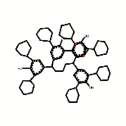 Oc1c(C2CCCCC2)cc(C(CCCC(c2cc(C3CCCCC3)c(O)c(C3CCCCC3)c2)c2cc(C3CCCCC3)c(O)c(C3CCCCC3)c2)c2cc(C3CCCCC3)c(O)c(C3CCCCC3)c2)cc1C1CCCCC1